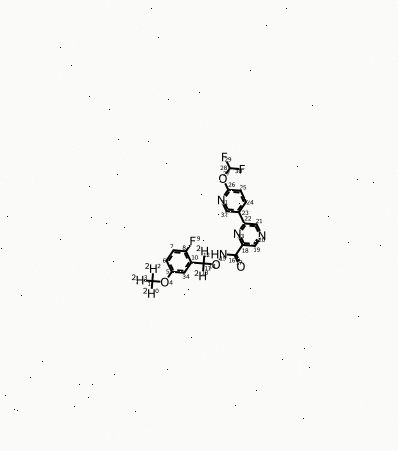 [2H]C([2H])([2H])Oc1ccc(F)c(C([2H])([2H])ONC(=O)c2cncc(-c3ccc(OC(F)F)nc3)n2)c1